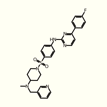 CN(Cc1cccnc1)C1CCN(S(=O)(=O)c2ccc(Nc3nccc(-c4ccc(F)cc4)n3)cc2)CC1